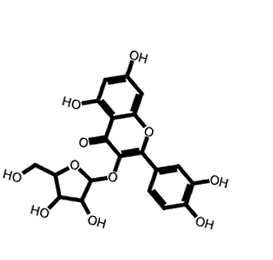 O=c1c(OC2OC(CO)C(O)C2O)c(-c2ccc(O)c(O)c2)oc2cc(O)cc(O)c12